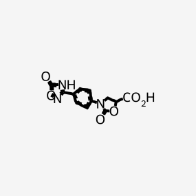 O=C(O)C1CN(c2ccc(-c3noc(=O)[nH]3)cc2)C(=O)O1